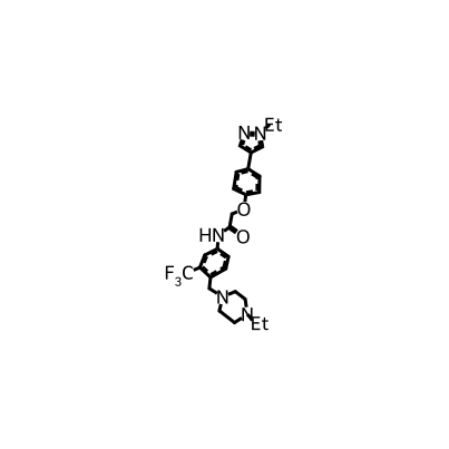 CCN1CCN(Cc2ccc(NC(=O)COc3ccc(-c4cnn(CC)c4)cc3)cc2C(F)(F)F)CC1